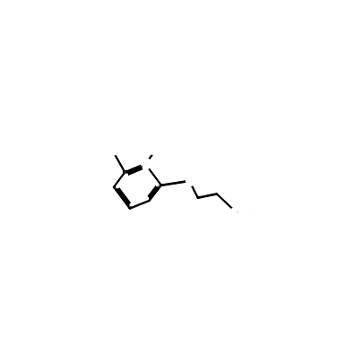 CCCCCCCCSc1cccc(Cl)[n+]1[O-]